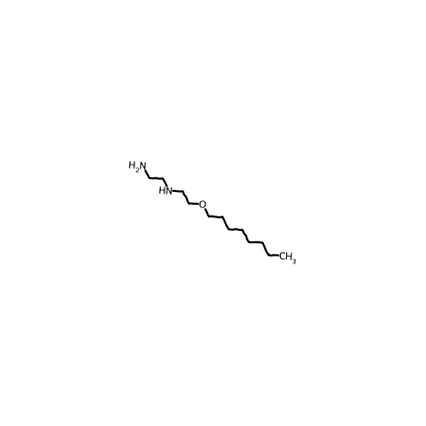 CCCCCCCCOCCNCCN